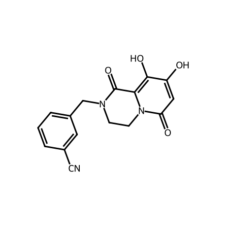 N#Cc1cccc(CN2CCn3c(c(O)c(O)cc3=O)C2=O)c1